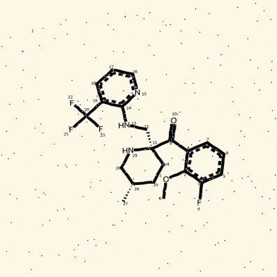 COc1c(F)cccc1C(=O)[C@@]1(CNc2ncccc2C(F)(F)F)CC[C@H](C)CN1